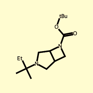 CCC(C)(C)N1CC2CN(C(=O)OC(C)(C)C)C2C1